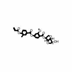 C=CC(=O)Oc1ccc(C(=O)Oc2ccc(C(=O)O[C@H]3CO[C@H]4[C@@H]3OC[C@H]4O)c(OC)c2)cc1C